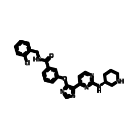 O=C(NCc1ccccc1Cl)c1cccc(Oc2ncsc2-c2ccnc(N[C@H]3CCCNC3)n2)c1